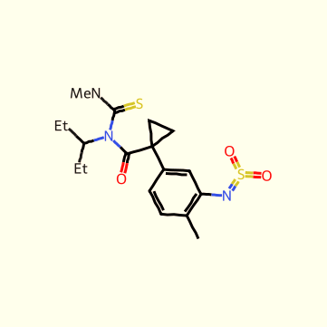 CCC(CC)N(C(=O)C1(c2ccc(C)c(N=S(=O)=O)c2)CC1)C(=S)NC